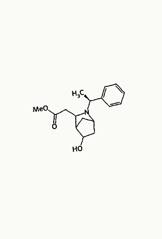 COC(=O)CC1C2CC(CC2O)N1[C@@H](C)c1ccccc1